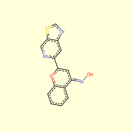 ON=c1cc(-c2cc3ncsc3cn2)oc2ccccc12